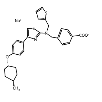 C[C@H]1CC[C@H](Oc2ccc(-c3csc(N(Cc4ccc(C(=O)[O-])cc4)Cc4cccs4)n3)cc2)CC1.[Na+]